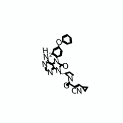 N#CC(=CC1CC1)C(=O)N1CC[C@H]1Cn1c(=O)n(-c2ccc(Oc3ccccc3)cc2)c2c(N)ncnc21